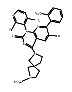 COc1ccccc1-c1nc2c(cc1C#N)c(N1CCC3(CCN(C(=O)O)C3)C1)nc(=O)n2-c1c(C)ccnc1C(C)C